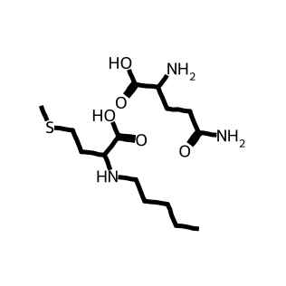 CCCCCNC(CCSC)C(=O)O.NC(=O)CCC(N)C(=O)O